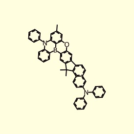 Cc1cc2c3c(c1)N(c1ccccc1)c1ccccc1B3c1cc3c(cc1O2)-c1ccc2cc(N(c4ccccc4)c4ccccc4)ccc2c1C3(C)C